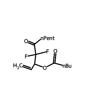 C=CC(OC(=O)CCCC)C(F)(F)C(=O)CCCCC